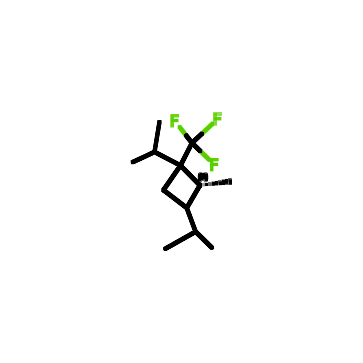 CC(C)C1CC(C(C)C)(C(F)(F)F)[C@@H]1C